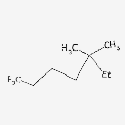 CCC(C)(C)CCCC(F)(F)F